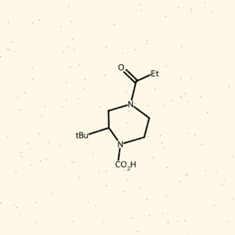 CCC(=O)N1CCN(C(=O)O)C(C(C)(C)C)C1